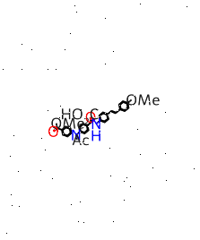 COC(=O)c1ccc(N(C(C)=O)c2ccc(C(=O)Nc3ccc(/C=C/c4ccc(OC)cc4)cc3C(=O)O)cc2)cc1